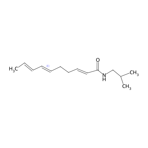 CC=C/C=C/CCC=CC(=O)NCC(C)C